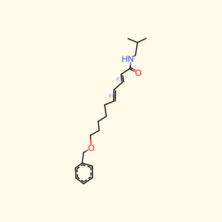 CC(C)CNC(=O)/C=C/C=C/CCCCCOCc1ccccc1